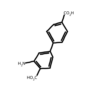 Nc1cc(-c2ccc(C(=O)O)cc2)ccc1C(=O)O